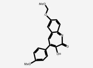 COCOc1ccc2nc(=O)c(O)c(-c3ccc(OC)cc3)cc2c1